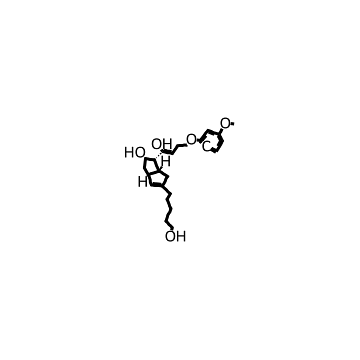 COc1cccc(OCCC=C(O)[C@@H]2[C@@H]3CC(CCCCCO)=C[C@@H]3C[C@H]2O)c1